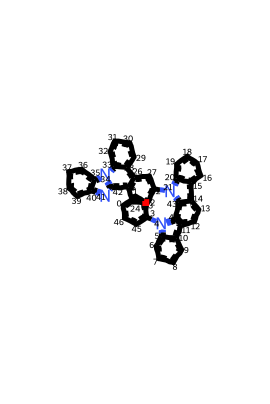 c1ccc(-n2c3ccccc3c3ccc4c5ccccc5n(-c5ccc6c(c5)c5ccccc5n5c7ccccc7nc65)c4c32)cc1